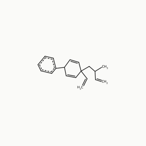 C=CC(C)CC1(C=C)C=CC(c2ccccc2)C=C1